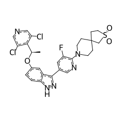 C[C@@H](Oc1ccc2[nH]nc(-c3cnc(N4CCC5(CC4)CCS(=O)(=O)C5)c(F)c3)c2c1)c1c(Cl)cncc1Cl